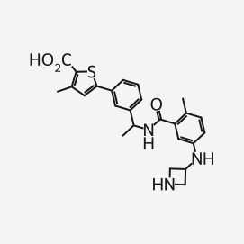 Cc1ccc(NC2CNC2)cc1C(=O)NC(C)c1cccc(-c2cc(C)c(C(=O)O)s2)c1